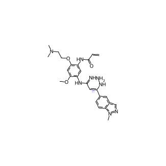 C=CC(=O)Nc1cc(NC(=N)/C=C(\NN)c2ccc3c(cnn3C)c2)c(OC)cc1OCCN(C)C